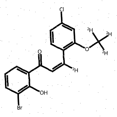 [2H]C(=CC(=O)c1cccc(Br)c1O)c1ccc(Cl)cc1OC([2H])([2H])[2H]